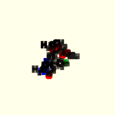 CC(C)c1nc2c(c(-c3ccc(F)cc3)c1/C=C/[C@@H]1C[C@H](CC(=O)OC(C)(C)C)OC(C)(C)O1)CCC(=O)NC2(C)C